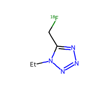 CCn1nnnc1C[18F]